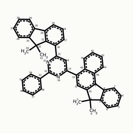 CC1(C)c2ccccc2-c2c1cc(-c1cc(-c3cccc4c3C(C)(C)c3ccccc3-4)nc(-c3ccccc3)n1)c1ccccc21